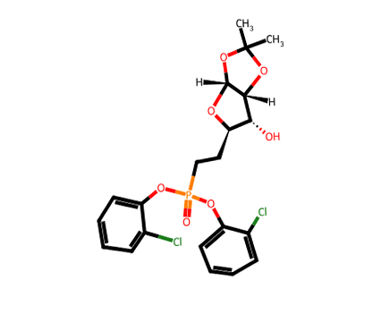 CC1(C)O[C@H]2O[C@H](CCP(=O)(Oc3ccccc3Cl)Oc3ccccc3Cl)[C@@H](O)[C@H]2O1